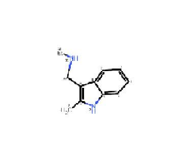 [CH2]c1[nH]c2ccccc2c1CNCC